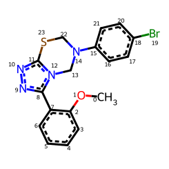 COc1ccccc1-c1nnc2n1CN(c1ccc(Br)cc1)CS2